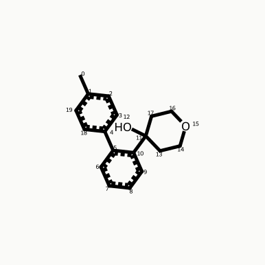 Cc1ccc(-c2ccccc2C2(O)CCOCC2)cc1